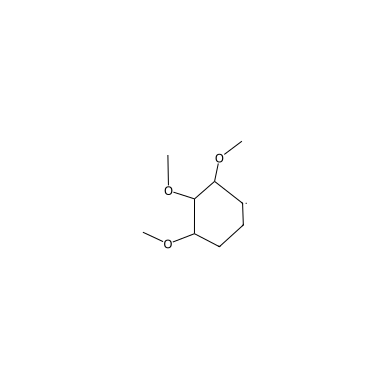 COC1[CH]CCC(OC)C1OC